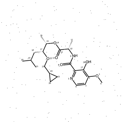 COc1ccnc(C(=O)N[C@@H](C)C(=O)O[C@@H](C)[C@@H](CC(C)C)OCC2CC2)c1O